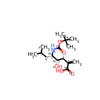 C=C(C[C@H](O)[C@H](CC(C)C)NC(=O)OC(C)(C)C)C(=O)O